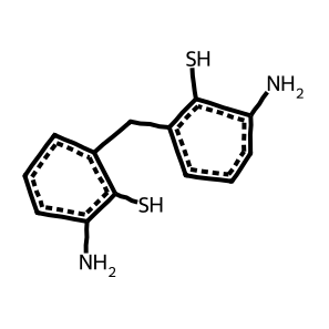 Nc1cccc(Cc2cccc(N)c2S)c1S